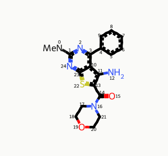 CNc1nc(-c2ccccc2)c2c(N)c(C(=O)N3CCOCC3)sc2n1